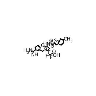 Cc1ccc2cc(S(=O)(=O)N[C@H]3CCN(Cc4cccc(C(=N)N)c4)C3=O)sc2c1.O=C(O)C(F)(F)F